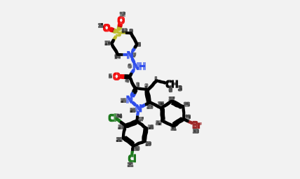 CCc1c(C(=O)NN2CCS(=O)(=O)CC2)nn(-c2ccc(Cl)cc2Cl)c1-c1ccc(Br)cc1